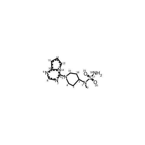 CN(C1CCN(c2ncnc3cccn23)CC1)S(N)(=O)=O